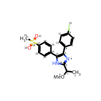 COC(C)c1nc(-c2ccc(F)cc2)c(-c2ccc(S(C)(=O)=O)cc2)[nH]1